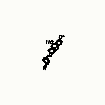 COc1ccc2c(c1)[C@@H](O)CC1(CCN(CCc3ccc(C#N)cc3)CC1)O2